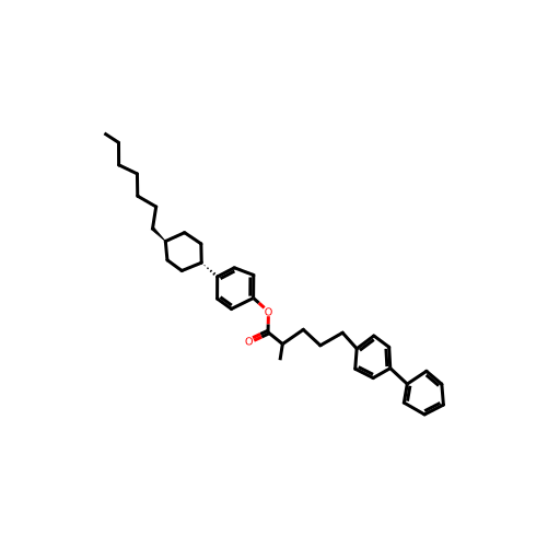 CCCCCCC[C@H]1CC[C@H](c2ccc(OC(=O)C(C)CCCc3ccc(-c4ccccc4)cc3)cc2)CC1